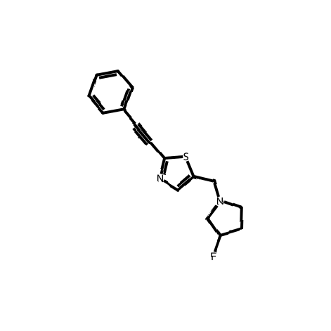 FC1CCN(Cc2cnc(C#Cc3ccccc3)s2)C1